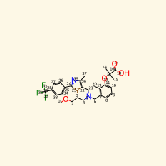 COCCCN(Cc1cccc(OC(C)(C)C(=O)O)c1C)Cc1sc(-c2ccc(C(F)(F)F)cc2)nc1C